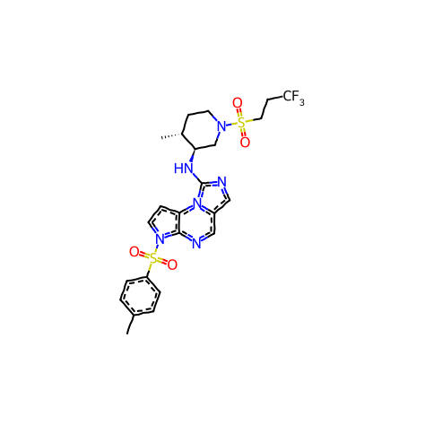 Cc1ccc(S(=O)(=O)n2ccc3c2ncc2cnc(N[C@@H]4CN(S(=O)(=O)CCC(F)(F)F)CC[C@H]4C)n23)cc1